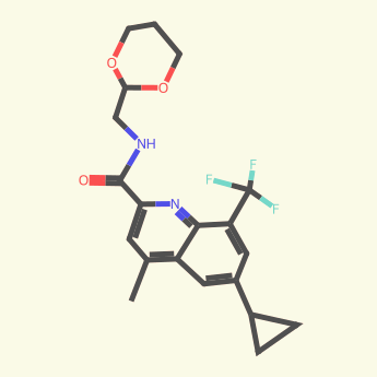 Cc1cc(C(=O)NCC2OCCCO2)nc2c(C(F)(F)F)cc(C3CC3)cc12